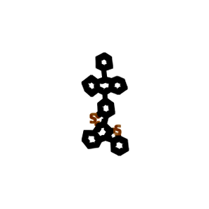 c1ccc(-c2c3ccccc3c(-c3ccc4c(c3)sc3c5ccccc5c5c6ccccc6sc5c43)c3ccccc23)cc1